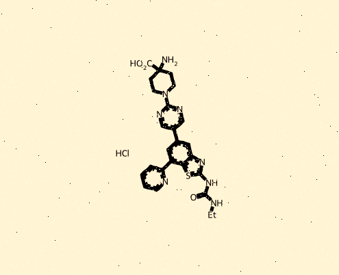 CCNC(=O)Nc1nc2cc(-c3cnc(N4CCC(N)(C(=O)O)CC4)nc3)cc(-c3ccccn3)c2s1.Cl